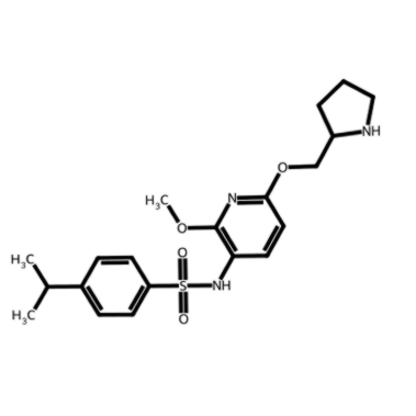 COc1nc(OCC2CCCN2)ccc1NS(=O)(=O)c1ccc(C(C)C)cc1